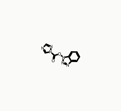 O=C(On1nnc2ccccc21)n1cncn1